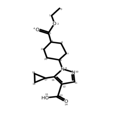 CCOC(=O)C1CCC(n2ncc(C(=O)O)c2C2CC2)CC1